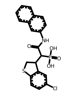 O=C(Nc1ccc2ccccc2c1)C(C1CSc2ccc(Cl)cc21)P(=O)(O)O